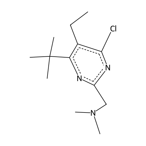 CCc1c(Cl)nc(CN(C)C)nc1C(C)(C)C